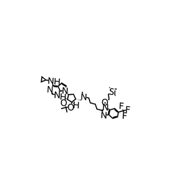 CN(CCCCc1nc2ccc(C(F)(F)F)cc2n1OCC[Si](C)(C)C)C[C@H]1C[C@@H](n2ccc3c(NC4CC4)ncnc32)[C@@H]2OC(C)(C)O[C@H]12